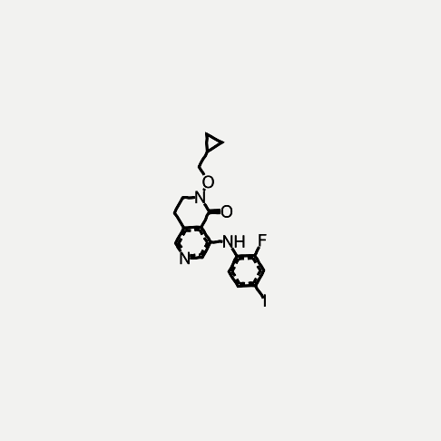 O=C1c2c(cncc2Nc2ccc(I)cc2F)CCN1OCC1CC1